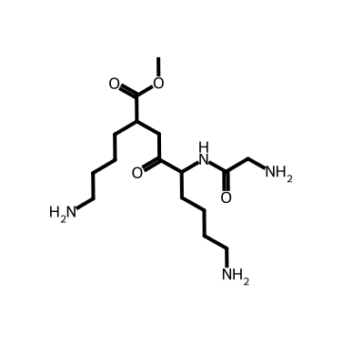 COC(=O)C(CCCCN)CC(=O)C(CCCCN)NC(=O)CN